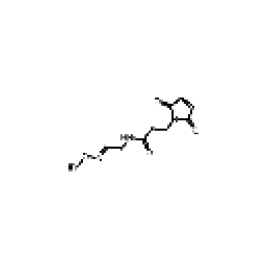 CC(C)ON=CCNC(=O)CCN1C(=O)C=CC1=O